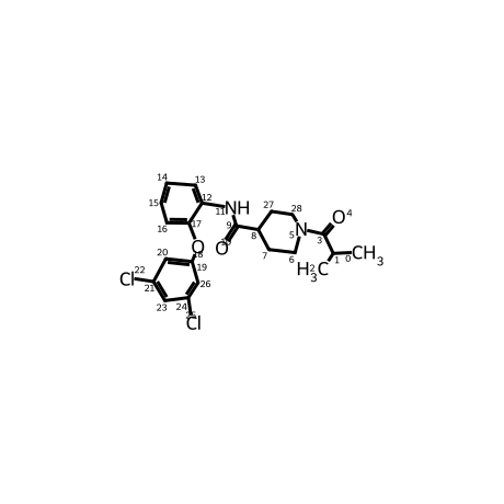 CC(C)C(=O)N1CCC(C(=O)Nc2ccccc2Oc2cc(Cl)cc(Cl)c2)CC1